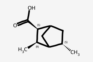 C[C@@H]1C2CC(C[C@@H]2C)[C@@H]1C(=O)O